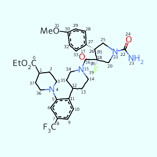 CCOC(=O)C1CCN(c2cc(C(F)(F)F)ccc2C2CCN(C(=O)[C@]3(F)CN(C(N)=O)C[C@H]3c3ccc(OC)cc3)CC2)CC1